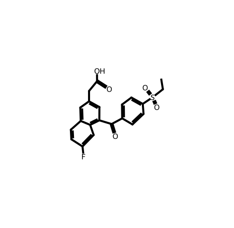 CCS(=O)(=O)c1ccc(C(=O)c2cc(CC(=O)O)cc3ccc(F)cc23)cc1